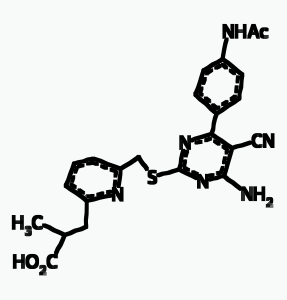 CC(=O)Nc1ccc(-c2nc(SCc3cccc(CC(C)C(=O)O)n3)nc(N)c2C#N)cc1